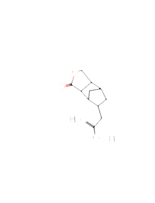 C=C(CC1CC2CC1C1C(=O)OCC21)C(=O)O